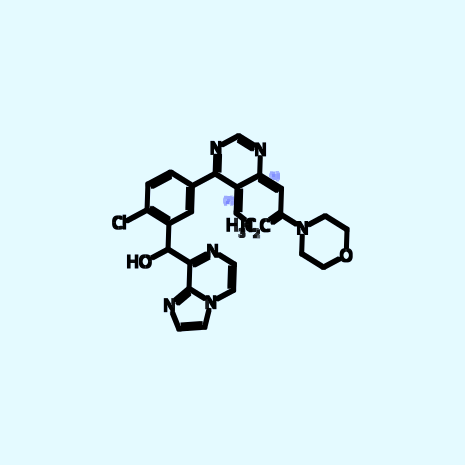 C=C(/C=c1/ncnc(-c2ccc(Cl)c(C(O)c3nccn4ccnc34)c2)/c1=C/C)N1CCOCC1